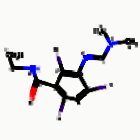 CN(C)C=Nc1c(I)cc(I)c(C(=O)NCC(=O)O)c1I